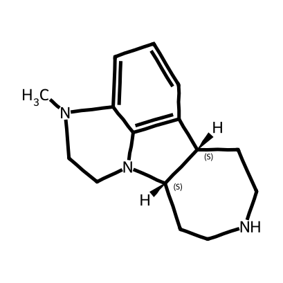 CN1CCN2c3c(cccc31)[C@@H]1CCNCC[C@@H]12